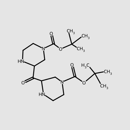 CC(C)(C)OC(=O)N1CCNC(C(=O)C2CN(C(=O)OC(C)(C)C)CCN2)C1